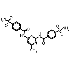 Cc1cc(NC(=O)c2ccc(S(N)(=O)=O)cc2)nc(NC(=O)c2ccc(S(N)(=O)=O)cc2)n1